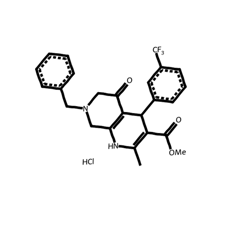 COC(=O)C1=C(C)NC2=C(C(=O)CN(Cc3ccccc3)C2)C1c1cccc(C(F)(F)F)c1.Cl